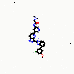 COc1cc(F)cc(-c2cccc3[nH]c(-c4n[nH]c5ccc(-c6cncc(NC(=O)CN(C)C)c6)nc45)nc23)c1